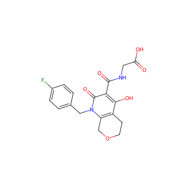 O=C(O)CNC(=O)c1c(O)c2c(n(Cc3ccc(F)cc3)c1=O)COCC2